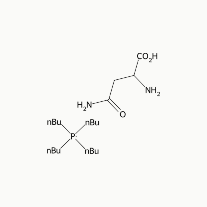 CCCC[P](CCCC)(CCCC)CCCC.NC(=O)CC(N)C(=O)O